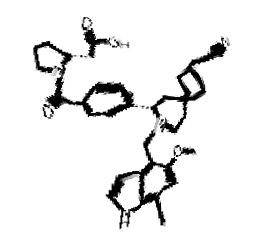 COc1cc(C)c2[nH]ccc2c1CN1CCC2(CC(C#N)C2)C[C@H]1c1ccc(C(=O)N2CCC[C@@H]2CC(=O)O)cc1